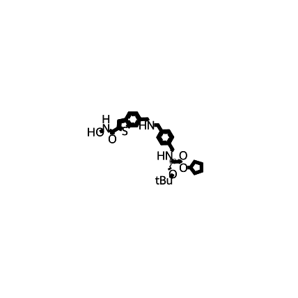 CC(C)(C)OC[C@H](NCc1ccc(CNCc2ccc3cc(C(=O)NO)sc3c2)cc1)C(=O)OC1CCCC1